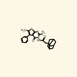 Cc1sc2nc(C)n(NC(=O)CC34CC5CC(CC(C5)C3)C4)c(=O)c2c1-c1ccccc1